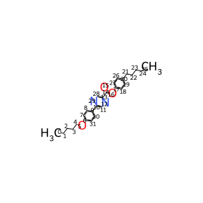 CCCCCOc1ccc(-c2cnc(C(=O)Oc3ccc(CCCCC)cc3)cn2)cc1